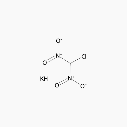 O=[N+]([O-])C(Cl)[N+](=O)[O-].[KH]